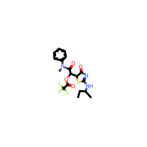 CCC(C)NC1=NC(=O)C(C(OC(=O)C(F)(F)F)C(=O)N(C)c2ccccc2)S1